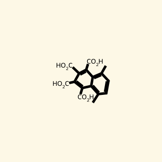 Cc1ccc(C)c2c(C(=O)O)c(C(=O)O)c(C(=O)O)c(C(=O)O)c12